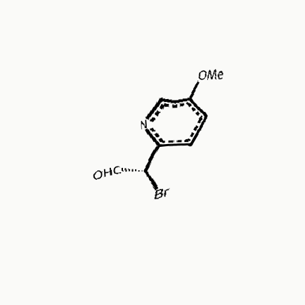 COc1ccc([C@H](Br)C=O)nc1